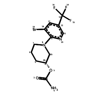 NC(=O)O[C@@H]1CCCN(c2ncc(C(F)(F)F)cc2Br)C1